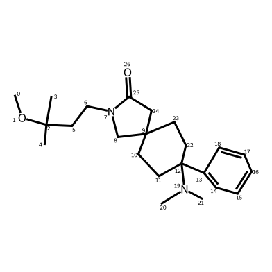 COC(C)(C)CCN1CC2(CCC(c3ccccc3)(N(C)C)CC2)CC1=O